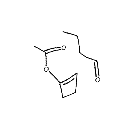 CC(=O)OC1=CCC1.CCCC=O